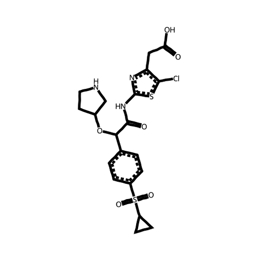 O=C(O)Cc1nc(NC(=O)C(OC2CCNC2)c2ccc(S(=O)(=O)C3CC3)cc2)sc1Cl